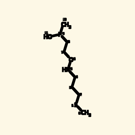 CSCCCNOCCP(C)O